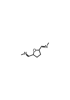 CN=CC1CCC(C=NC)O1